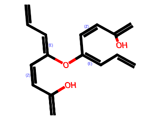 C=C/C=C(\C=C/C(=C)O)OC(/C=C\C(=C)O)=C/C=C